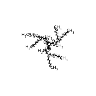 CCCCCCCCN(CCCCCCCC)CCC(C)OC(=O)C1CC(C(=O)OC(C)CCN(CCCCCCCC)CCCCCCCC)CC(C(=O)OC(C)CCN(CCCCCCCC)CCCCCCCC)C1